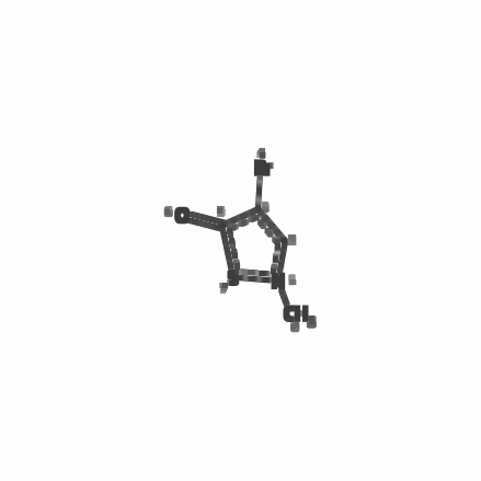 Cn1cc(Br)c(=O)s1